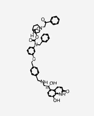 O=C(C[N+]12CCC(CC1)[C@@H](OC(=O)N(Cc1ccccc1)c1cccc(OCc3ccc(CNC[C@H](O)c4ccc(O)c5[nH]c(=O)ccc45)cc3)c1)C2)c1ccccc1